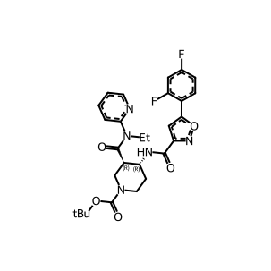 CCN(C(=O)[C@@H]1CN(C(=O)OC(C)(C)C)CC[C@H]1NC(=O)c1cc(-c2ccc(F)cc2F)on1)c1ccccn1